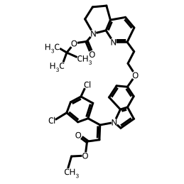 CCOC(=O)C=C(c1cc(Cl)cc(Cl)c1)n1ccc2cc(OCCc3ccc4c(n3)N(C(=O)OC(C)(C)C)CCC4)ccc21